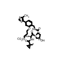 CCOC(=O)CCCOc1cc(-c2scnc2C)ccc1CNC(=O)[C@@H]1C[C@@H](O)CN1C(=O)[C@@H](NC(=O)C1(F)CC1)C(C)(C)C